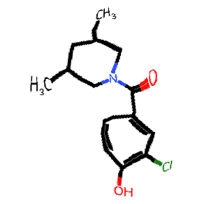 CC1CC(C)CN(C(=O)c2ccc(O)c(Cl)c2)C1